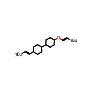 CCCCC=COC1CCC(C2CCC(C=CCCCC)CC2)CC1